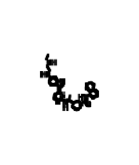 CCNCCNc1ccc2c(c1)ncn2-c1ccnc(NC(C)C2CCCN(C(=O)Nc3cccc4ccccc34)C2)n1